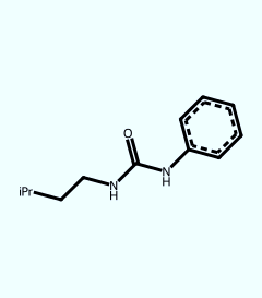 CC(C)CCNC(=O)Nc1ccccc1